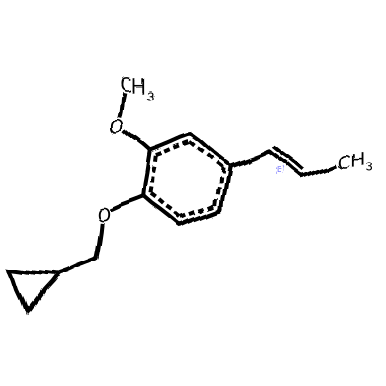 C/C=C/c1ccc(OCC2CC2)c(OC)c1